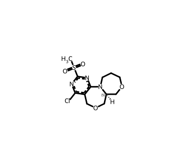 CS(=O)(=O)c1nc(Cl)c2c(n1)N1CCCOC[C@H]1COC2